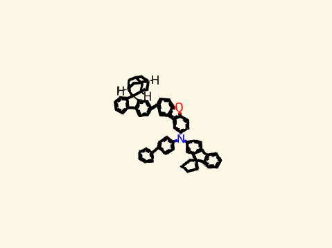 c1ccc(-c2ccc(N(c3ccc4c(c3)C3(CCCC3)c3ccccc3-4)c3ccc4oc5ccc(-c6ccc7c(c6)[C@]6(c8ccccc8-7)[C@@H]7CC8C[C@@H](C7)C[C@@H]6C8)cc5c4c3)cc2)cc1